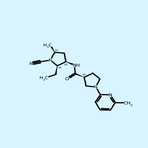 CC[C@@H]1[C@H](NC(=O)[C@H]2CCN(c3cccc(C)n3)C2)C[C@H](C)N1C#N